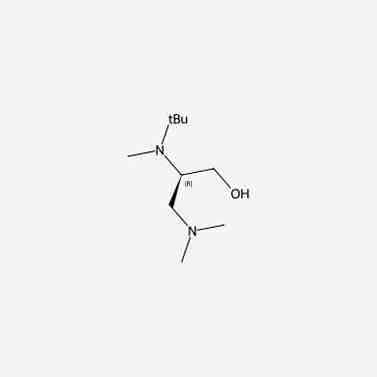 CN(C)C[C@H](CO)N(C)C(C)(C)C